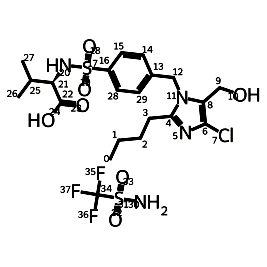 CCCCc1nc(Cl)c(CO)n1Cc1ccc(S(=O)(=O)N[C@@H](C(=O)O)C(C)C)cc1.NS(=O)(=O)C(F)(F)F